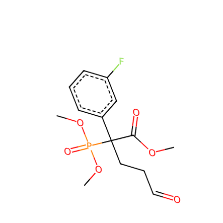 COC(=O)C(CCC=O)(c1cccc(F)c1)P(=O)(OC)OC